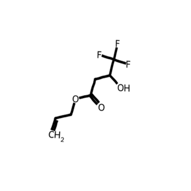 C=CCOC(=O)CC(O)C(F)(F)F